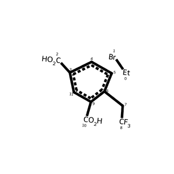 CCBr.O=C(O)c1ccc(CC(F)(F)F)c(C(=O)O)c1